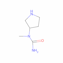 CN(C(N)=O)C1CCNC1